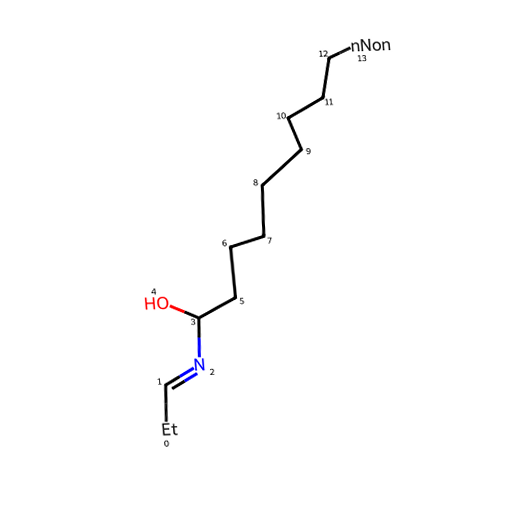 CCC=NC(O)CCCCCCCCCCCCCCCCC